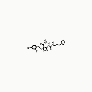 NC(=O)c1c(SCc2ccc(Br)cc2F)nsc1NC(=O)NCCCN1CCCC1